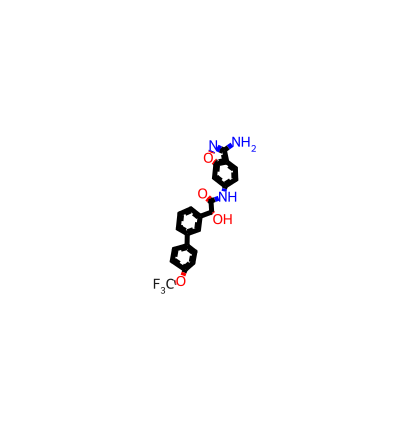 Nc1noc2cc(NC(=O)C(O)c3cccc(-c4ccc(OC(F)(F)F)cc4)c3)ccc12